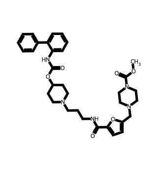 COC(=O)N1CCN(Cc2ccc(C(=O)NCCCN3CCC(OC(=O)Nc4ccccc4-c4ccccc4)CC3)o2)CC1